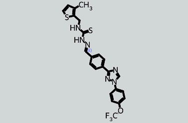 Cc1ccsc1CNC(=S)N/N=C/c1ccc(-c2ncn(-c3ccc(OC(F)(F)F)cc3)n2)cc1